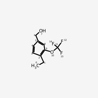 CCc1ccc(CO)cc1OC(F)(F)F